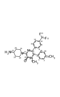 Cc1ccc(-c2c(-c3ccc(C(F)F)cc3)nc(N3CCC(N)CC3)c(=O)n2C)cc1